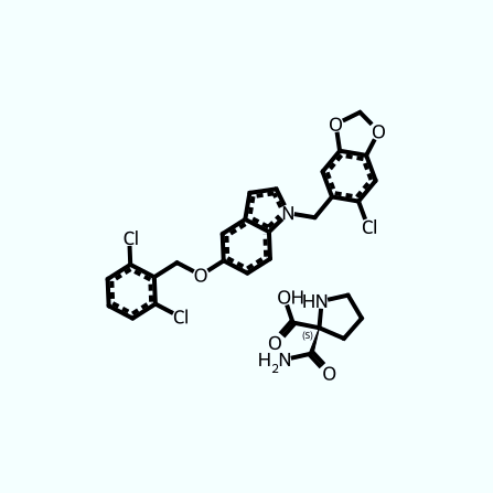 Clc1cc2c(cc1Cn1ccc3cc(OCc4c(Cl)cccc4Cl)ccc31)OCO2.NC(=O)[C@]1(C(=O)O)CCCN1